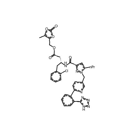 CCCc1cc(C(=O)N[C@@H](CC(=O)OCc2oc(=O)oc2C)Cc2ccccc2Cl)nn1Cc1ccc(-c2ccccc2-c2nnn[nH]2)nc1